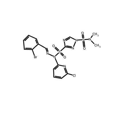 CN(C)S(=O)(=O)n1cnc(S(=O)(=O)N(/N=C/c2ccccc2Br)c2cccc(Cl)n2)n1